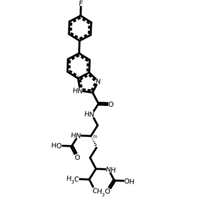 CC(C)C(CC[C@@H](CNC(=O)c1nc2cc(-c3ccc(F)cc3)ccc2[nH]1)NC(=O)O)NC(=O)O